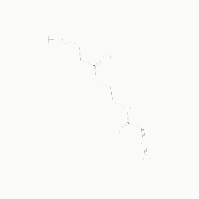 CCCC(=O)OCCOC(=O)C=C=O